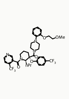 CCC[C@H]1N(C(=O)c2cnccc2C(F)(F)F)CCC[C@@]1(Oc1ccc(C(F)(F)F)cc1)C(=O)N1CCN(c2ccccc2OCCOC)CC1